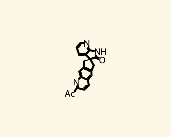 CC(=O)c1ccc2cc3c(cc2n1)C[C@]1(C3)C(=O)Nc2ncccc21